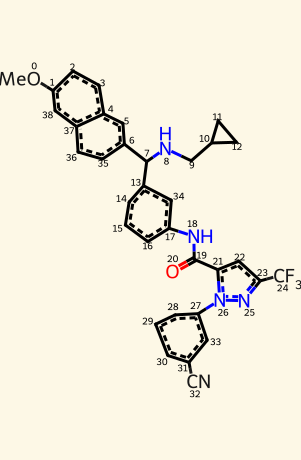 COc1ccc2cc(C(NCC3CC3)c3cccc(NC(=O)c4cc(C(F)(F)F)nn4-c4cccc(C#N)c4)c3)ccc2c1